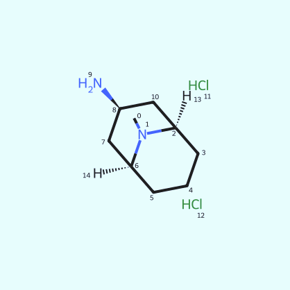 CN1[C@@H]2CCC[C@H]1C[C@@H](N)C2.Cl.Cl